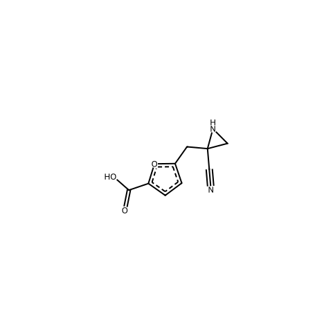 N#CC1(Cc2ccc(C(=O)O)o2)CN1